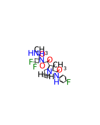 CNC(=O)C1(NC(=O)C(=O)c2c(C)c(C(=O)Nc3ccc(F)cc3)n3c2C[C@@H]2CC[C@H]23)CC(F)(F)C1